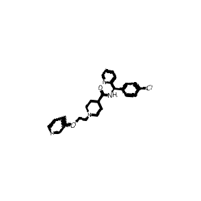 O=C(N[C@H](c1ccc(Cl)cc1)c1ccccn1)C1CCN(CCOc2cccnc2)CC1